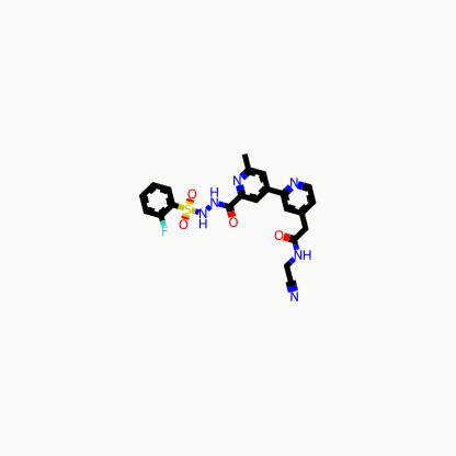 Cc1cc(-c2cc(CC(=O)NCC#N)ccn2)cc(C(=O)NNS(=O)(=O)c2ccccc2F)n1